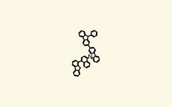 c1ccc(C2c3ccccc3-c3ccc(-c4ccc5c6ccccc6n(-c6ccc(-c7cccc8c7Cc7ccccc7-8)c7ccccc67)c5c4)cc32)cc1